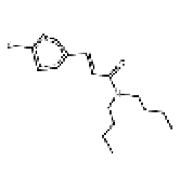 CCCCN(CCCC)C(=O)C=Cc1ccc(Cl)cc1